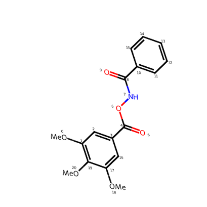 COc1cc(C(=O)ONC(=O)c2ccccc2)cc(OC)c1OC